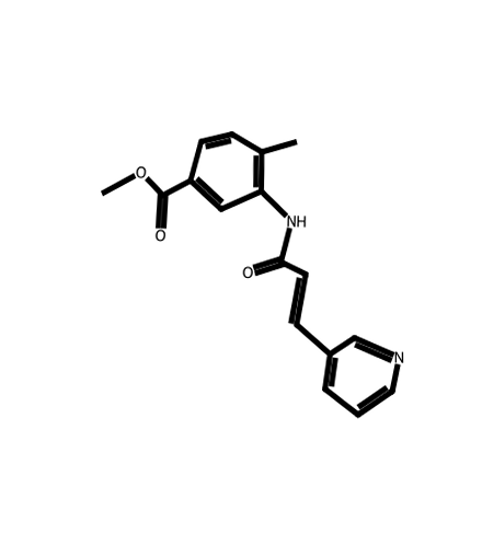 COC(=O)c1ccc(C)c(NC(=O)C=Cc2cccnc2)c1